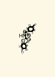 Cc1ccc(S(=O)(=O)NC(=O)O[C@@]2(C)C=C[C@H](C)CC2)cc1